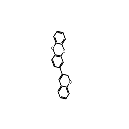 C1=C(c2ccc3c(c2)Sc2ccccc2O3)COc2ccccc21